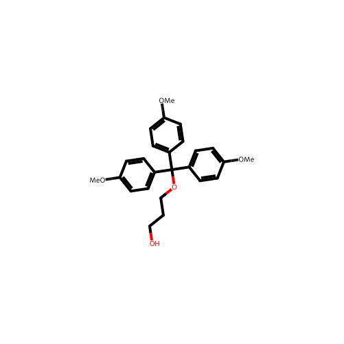 COc1ccc(C(OCCCO)(c2ccc(OC)cc2)c2ccc(OC)cc2)cc1